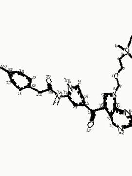 C[Si](C)(C)CCOCn1cc(C(=O)c2ccnc(NC(=O)Cc3ccc(Cl)cc3)c2)c2cncnc21